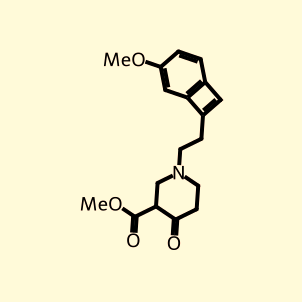 COC(=O)C1CN(CCC2=Cc3ccc(OC)cc32)CCC1=O